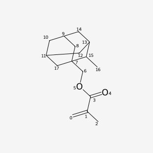 C=C(C)C(=O)OCC12CC3CC(CC(C3)C1C)C2